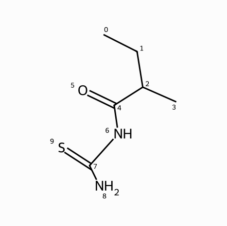 CCC(C)C(=O)NC(N)=S